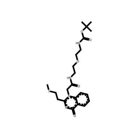 CSCCc1nc(=O)c2ccccc2n1CC(=O)NCCOCCNC(=O)OC(C)(C)C